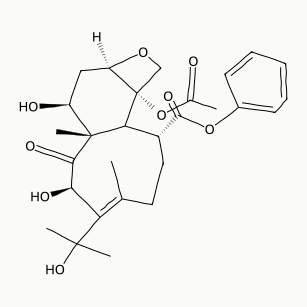 CC(=O)O[C@@]12CO[C@@H]1C[C@H](O)[C@@]1(C)C(=O)[C@H](O)/C(C(C)(C)O)=C(\C)CC[C@@H](C(=O)Oc3ccccc3)C12